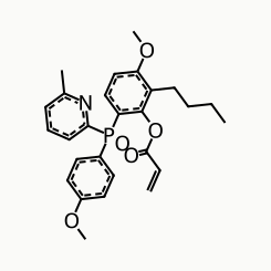 C=CC(=O)Oc1c(P(=O)(c2ccc(OC)cc2)c2cccc(C)n2)ccc(OC)c1CCCC